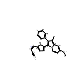 COc1ccn2c(-c3ccc(/C=C\C#N)s3)c(-c3ccccc3)c(C)c2c1